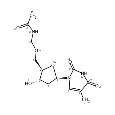 Cc1cn([C@H]2C[C@H](O)[C@@H](COCNC(=O)C(F)(F)F)O2)c(=O)[nH]c1=O